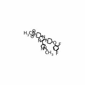 CCn1cc(-c2nc3c(nc2N2CCC(Oc4ccc(F)cc4F)CC2)CCN(S(C)(=O)=O)C3)cn1